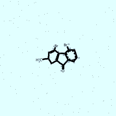 CC1C=C(Br)C2=C(C1)C(=O)c1cccc(Br)c12